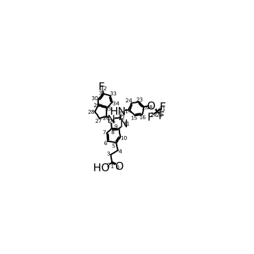 O=C(O)CCc1ccc2c(c1)nc(Nc1ccc(OC(F)(F)F)cc1)n2C1CCc2cc(F)ccc21